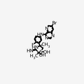 CN1C(=N)N[C@](C)(c2cc(Nc3ncnc4cc(Br)cnc34)ccc2F)CS1(O)O